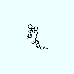 O=Cc1ccc2c(c1)CN(CC/C=C/c1cccc(C3(C(=O)OC4CN5CCC4CC5)CCCCC3)c1)C2=O